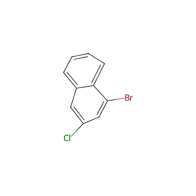 Clc1cc(Br)c2ccccc2c1